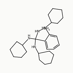 [SiH3]NC(NC1CCCCC1)(NC1CCCCC1)c1ccccc1NC1CCCCC1